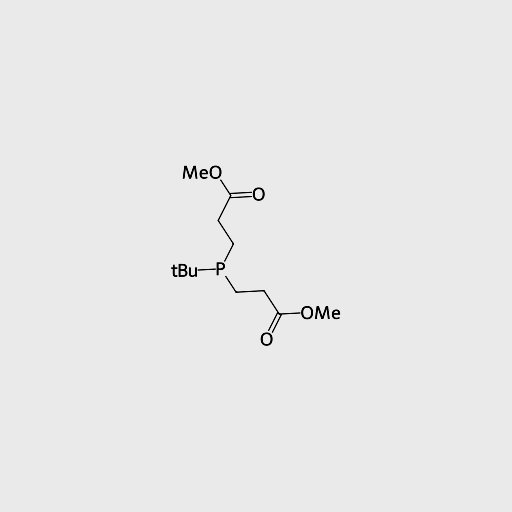 COC(=O)CCP(CCC(=O)OC)C(C)(C)C